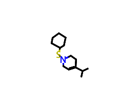 CC(C)C1=CCN(SC2CCCCC2)CC1